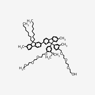 CCCCCCCCC1(CCCCCCCC)c2cc(C)ccc2-c2ccc(-c3ccc4c(c3)C(c3ccc(COCCOCCOCCO)c(C)c3)(c3ccc(OCCOCCOCCOC)c(N(C)C)c3)c3cc(C)ccc3-4)cc21